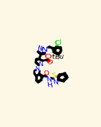 CC(C)(C)OC(=O)c1nc(N2CCc3cccc(C(=O)Nc4nc5ccccc5s4)c3C2)ccc1-c1cnn(Cc2ccccc2Cl)c1